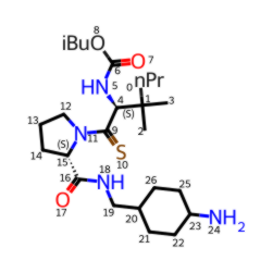 CCCC(C)(C)[C@H](NC(=O)OCC(C)C)C(=S)N1CCC[C@H]1C(=O)NCC1CCC(N)CC1